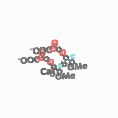 COc1ccc(F)c(-c2ccc(COc3ccc(C4(OCC(=O)[O-])COC4)cc3)cc2C2=CCCC2(C)C)c1.COc1ccc(F)c(-c2ccc(COc3ccc(C4(OCC(=O)[O-])COC4)cc3)cc2C2=CCCC2(C)C)c1.[Ca+2]